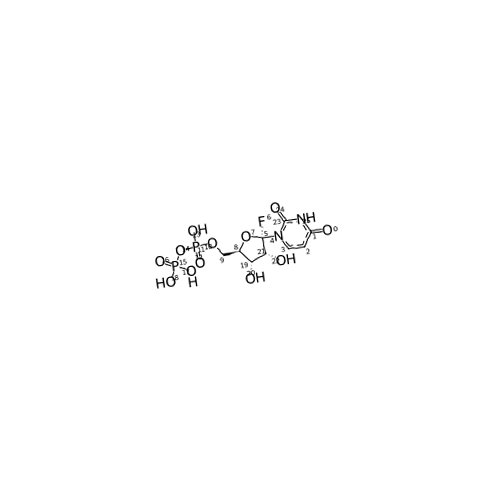 O=c1ccn([C@]2(F)O[C@H](COP(=O)(O)OP(=O)(O)O)[C@@H](O)[C@H]2O)c(=O)[nH]1